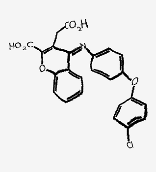 O=C(O)Cc1c(C(=O)O)oc2ccccc2c1=Nc1ccc(Oc2ccc(Cl)cc2)cc1